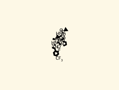 C=C[C@@H]1C[C@]1(NC(=O)[C@@H]1CCCN1C(=O)[C@@H](Nc1nc(-c2ccc(C(F)(F)F)cc2F)cs1)C(C)(C)C)C(=O)NS(=O)(=O)C1CC1